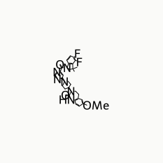 COc1ccc2c(c1)CCN(C1CCN(c3cc(C(=O)N4CC(C)(C)c5c4ccc(F)c5F)ncn3)CC1)C(=O)N2